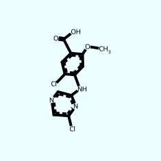 COc1cc(Nc2cncc(Cl)n2)c(Cl)cc1C(=O)O